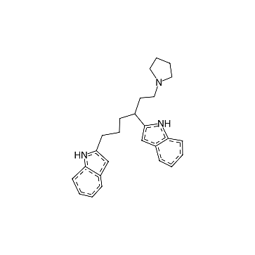 c1ccc2[nH]c(CCCC(CCN3CCCC3)c3cc4ccccc4[nH]3)cc2c1